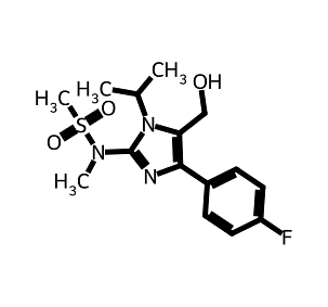 CC(C)n1c(N(C)S(C)(=O)=O)nc(-c2ccc(F)cc2)c1CO